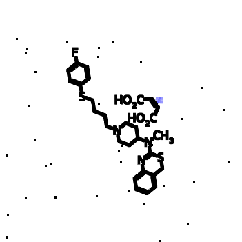 CN(C1=Nc2ccccc2CS1)C1CCN(CCCCSc2ccc(F)cc2)CC1.O=C(O)/C=C\C(=O)O